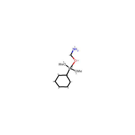 CO[Si](OC)(OCN)C1CCCCC1